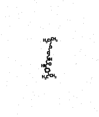 CC(C)CCOCCOCCNCC(=O)Nc1ccc(C(C)C)cc1